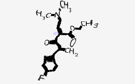 C=C(C(=O)/C(=C/CN(C)C)C(=O)OCC)c1ccc(F)cc1